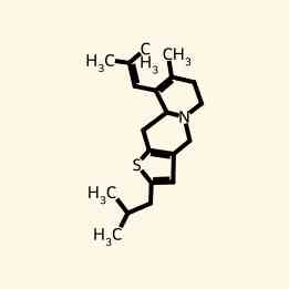 CC(C)=CC1=C(C)CCN2Cc3cc(CC(C)C)sc3CC12